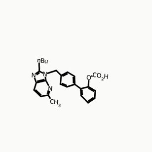 CCCCc1nc2ccc(C)nc2n1Cc1ccc(-c2ccccc2OC(=O)O)cc1